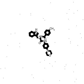 Cc1ccc(C(=O)N[C@@H](Cc2c[nH]c3ccccc23)C(=O)Nc2ccc(N3CCOCC3)cc2)cc1